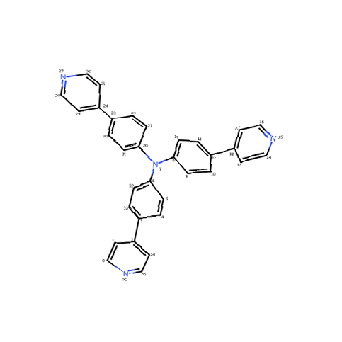 c1cc(-c2ccc(N(c3ccc(-c4ccncc4)cc3)c3ccc(-c4ccncc4)cc3)cc2)ccn1